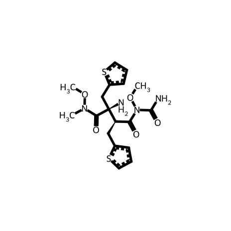 CON(C)C(=O)[C@](N)(Cc1cccs1)[C@H](Cc1cccs1)C(=O)N(OC)C(N)=O